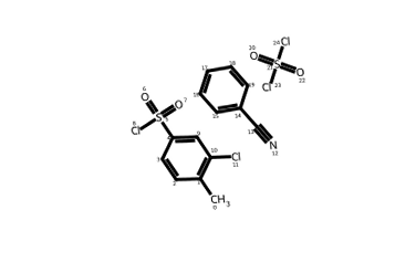 Cc1ccc(S(=O)(=O)Cl)cc1Cl.N#Cc1ccccc1.O=S(=O)(Cl)Cl